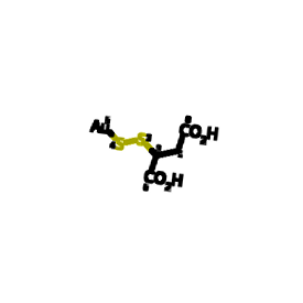 O=C(O)CC(S[S][Au])C(=O)O